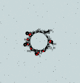 CCCC[C@H]1C(=O)N(C)[C@@H](CCCC)C(=O)N[C@@H](C)C(=O)N[C@H](C(=O)NCC(N)=O)CSCC(=O)N[C@@H](Cc2ccc(O)cc2)C(=O)N(C)[C@@H](C)C(=O)N[C@@H](CC(=O)O)C(=O)N2CCC[C@H]2C(=O)N[C@@H](Cc2cnc[nH]2)C(=O)N[C@@H](CCCN)C(=O)N2C[C@H](O)C[C@H]2C(=O)N[C@@H](Cc2c[nH]c3ccccc23)C(=O)N[C@@H](CO)C(=O)N[C@@H](Cc2c[nH]c3ccccc23)C(=O)N1C